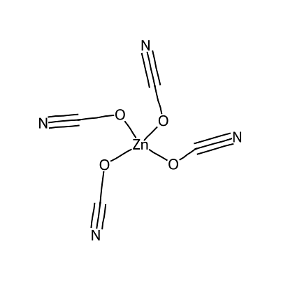 N#C[O][Zn]([O]C#N)([O]C#N)[O]C#N